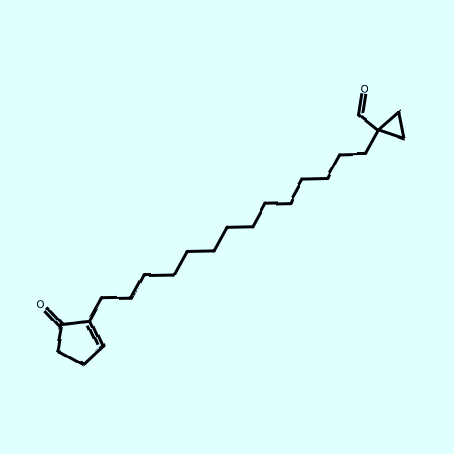 O=CC1(CCCCCCCCCCCCCCC2=CCCC2=O)CC1